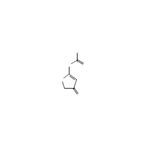 O=C1C=C(OC(=O)O)OC1